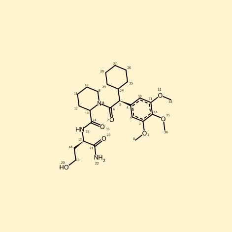 COc1cc([C@@H](C(=O)N2CCCCC2C(=O)N[C@H](CCO)C(N)=O)C2CCCCC2)cc(OC)c1OC